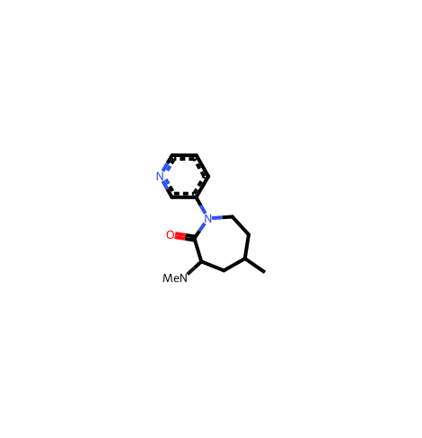 CNC1CC(C)CCN(c2cccnc2)C1=O